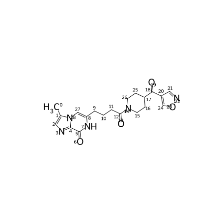 Cc1cnc2c(=O)[nH]c(CCCC(=O)N3CCC(C(=O)c4cnoc4)CC3)cn12